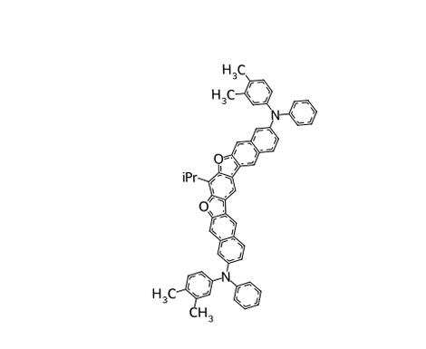 Cc1ccc(N(c2ccccc2)c2ccc3cc4c(cc3c2)oc2c(C(C)C)c3oc5cc6cc(N(c7ccccc7)c7ccc(C)c(C)c7)ccc6cc5c3cc24)cc1C